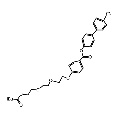 CCC(C)C(=O)OCCOCCOCCOc1ccc(C(=O)Oc2ccc(-c3ccc(C#N)cc3)cc2)cc1